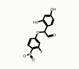 O=CC(Oc1ccc([N+](=O)[O-])c(F)c1)c1ccc(O)cc1O